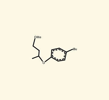 CCC(C)c1ccc(OC(C)CCOC)cc1